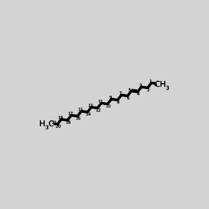 CCCC/C=C/CCCCCCCCCCCCCCCC